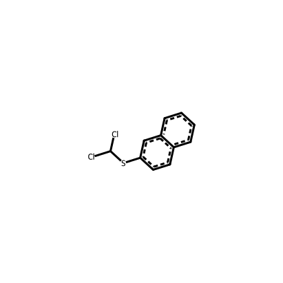 ClC(Cl)Sc1ccc2ccccc2c1